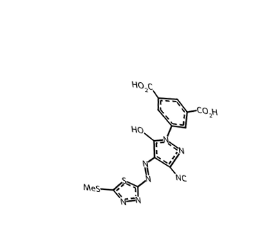 [C-]#[N+]c1nn(-c2cc(C(=O)O)cc(C(=O)O)c2)c(O)c1/N=N/c1nnc(SC)s1